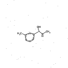 CNC(O)c1cccc(C)c1